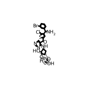 N[C@H](c1cccc(Br)c1)c1cc(C(=O)c2cncnc2N[C@@H]2C[C@H]([CH]NS(=O)(=O)O)[C@@H](O)[C@H]2O)sc1Cl